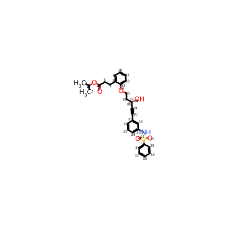 CC(C)OC(=O)CCc1ccccc1OCC[C@@H](O)C#Cc1cccc(NS(=O)(=O)c2ccccc2)c1